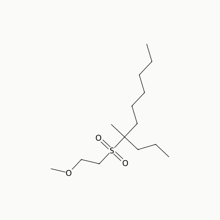 CCCCCCC(C)(CCC)S(=O)(=O)CCOC